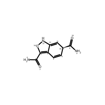 NC(=O)C1=C2C=C[C@H](C(N)=O)C=C2NO1